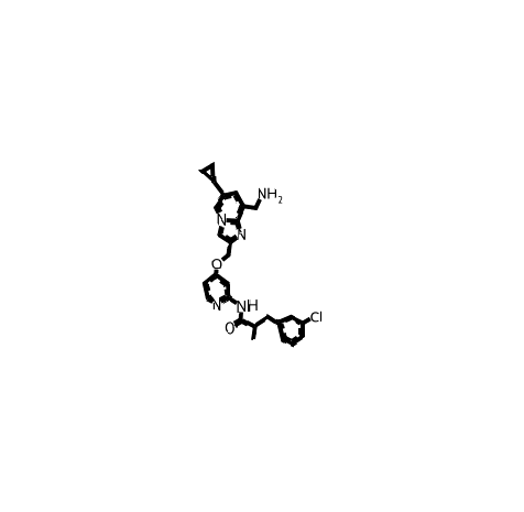 CC(Cc1cccc(Cl)c1)C(=O)Nc1cc(OCc2cn3cc(C4CC4)cc(CN)c3n2)ccn1